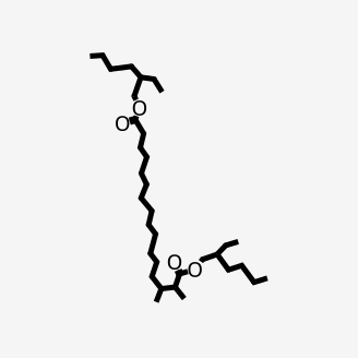 CCCCC(CC)COC(=O)CCCCCCCCCCCCC(C)C(C)C(=O)OCC(CC)CCCC